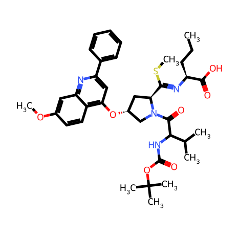 CCC[C@H](/N=C(\SC)[C@@H]1C[C@@H](Oc2cc(-c3ccccc3)nc3cc(OC)ccc23)CN1C(=O)C(NC(=O)OC(C)(C)C)C(C)C)C(=O)O